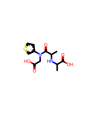 CC(NC(C)C(=O)N(CC(=O)O)c1ccsc1)C(=O)O